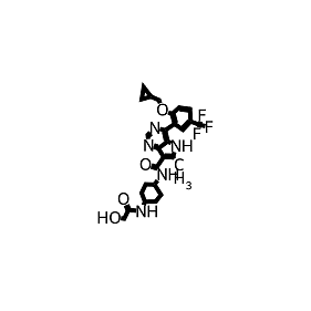 Cc1[nH]c2c(-c3cc(C(F)(F)F)ccc3OCC3CC3)ncnc2c1C(=O)NC1CCC(NC(=O)CO)CC1